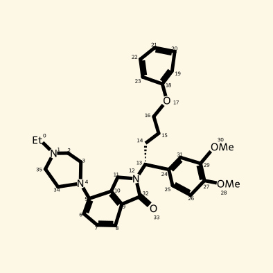 CCN1CCN(c2cccc3c2CN([C@H](CCCOc2ccccc2)c2ccc(OC)c(OC)c2)C3=O)CC1